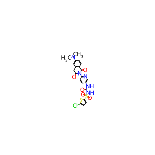 CN(C)c1ccc2c(c1)CC(=O)N(c1ccc(NC(=O)NS(=O)(=O)c3ccc(Cl)s3)cn1)C2=O